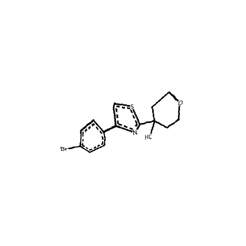 N#CC1(c2nc(-c3ccc(Br)cc3)cs2)CCOCC1